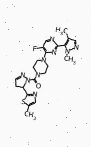 Cc1cnc(C2CC=NN2C(=O)N2CCN(c3nc(-c4c(C)cnn4C)ncc3F)CC2)s1